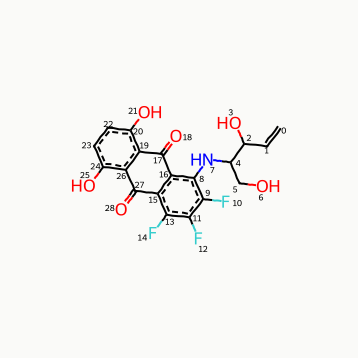 C=CC(O)C(CO)Nc1c(F)c(F)c(F)c2c1C(=O)c1c(O)ccc(O)c1C2=O